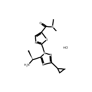 C[C@H](N)c1nc(C2CC2)nn1-c1ncc(C(=O)N(C)C)s1.Cl